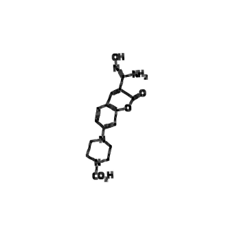 NC(=NO)c1cc2ccc(N3CCN(C(=O)O)CC3)cc2oc1=O